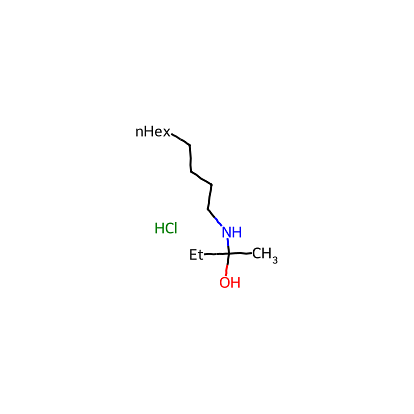 CCCCCCCCCCNC(C)(O)CC.Cl